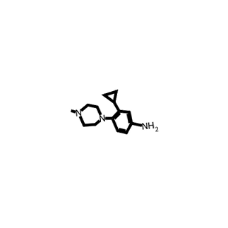 CN1CCN(c2ccc(N)cc2C2CC2)CC1